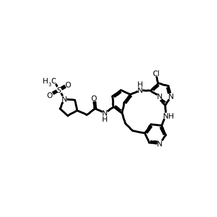 CS(=O)(=O)N1CCC(CC(=O)Nc2ccc3cc2CCc2cncc(c2)Nc2ncc(Cl)c(n2)N3)C1